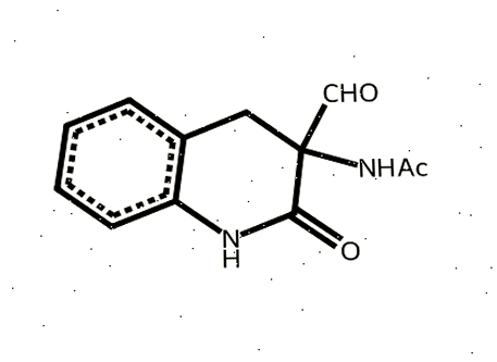 CC(=O)NC1(C=O)Cc2ccccc2NC1=O